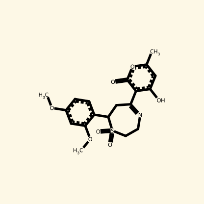 COc1ccc(C2CC(c3c(O)cc(C)oc3=O)=NCCS2(=O)=O)c(OC)c1